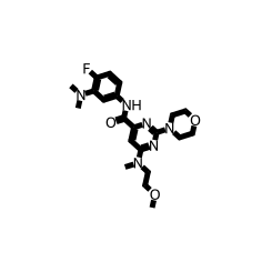 COCCN(C)c1cc(C(=O)Nc2ccc(F)c(N(C)C)c2)nc(N2CCOCC2)n1